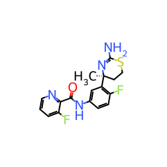 C[C@@]1(c2cc(NC(=O)c3ncccc3F)ccc2F)CCSC(N)=N1